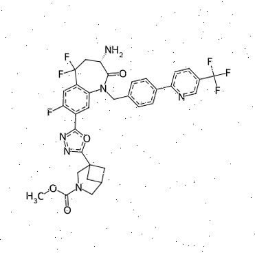 COC(=O)N1CC2CC(c3nnc(-c4cc5c(cc4F)C(F)(F)C[C@H](N)C(=O)N5Cc4ccc(-c5ccc(C(F)(F)F)cn5)cc4)o3)(C2)C1